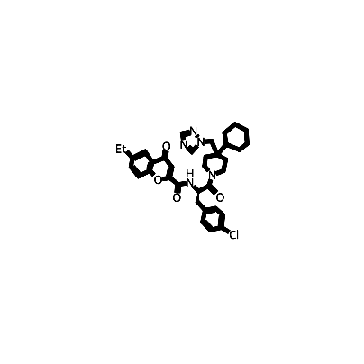 CCc1ccc2oc(C(=O)N[C@H](Cc3ccc(Cl)cc3)C(=O)N3CCC(Cn4cncn4)(C4CCCCC4)CC3)cc(=O)c2c1